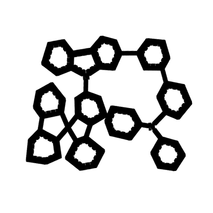 c1ccc(N(c2ccccc2)c2cccc(-c3cccc(-c4ccc5c6ccccc6n(-c6ccc7c(c6)C6(c8ccccc8-c8ccccc86)c6ccccc6-7)c5c4)c3)c2)cc1